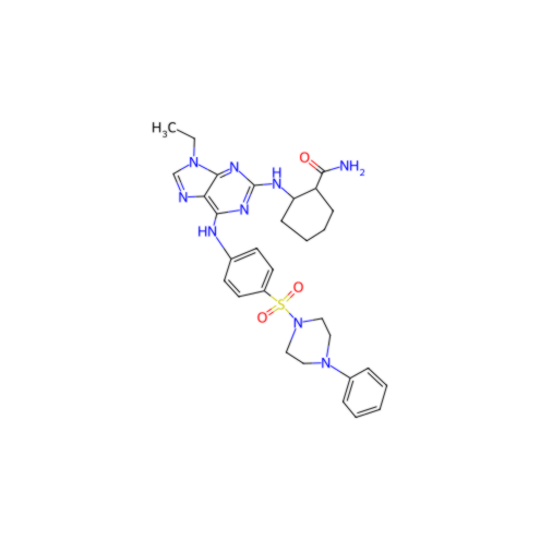 CCn1cnc2c(Nc3ccc(S(=O)(=O)N4CCN(c5ccccc5)CC4)cc3)nc(NC3CCCCC3C(N)=O)nc21